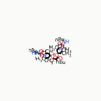 CCCCNC(=O)ON1C(C)(C)CC(OC(=O)C(CCCC)C(=O)OC2CC(C)(C)N(OC(=O)NCCCC)C(C)(C)C2)CC1(C)C